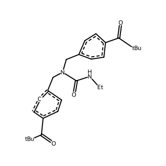 CCNC(=O)N(Cc1ccc(C(=O)C(C)(C)C)cc1)Cc1ccc(C(=O)C(C)(C)C)cc1